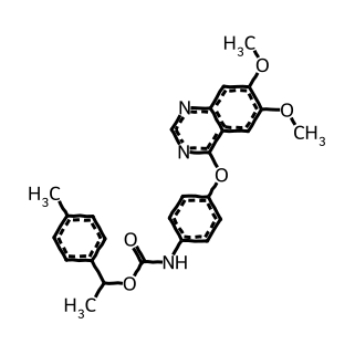 COc1cc2ncnc(Oc3ccc(NC(=O)OC(C)c4ccc(C)cc4)cc3)c2cc1OC